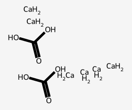 O=C(O)O.O=C(O)O.[CaH2].[CaH2].[CaH2].[CaH2].[CaH2].[CaH2]